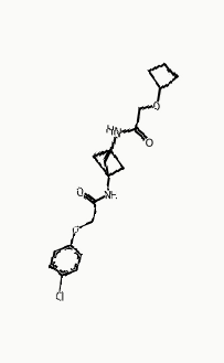 O=C(COc1ccc(Cl)cc1)NC12CC(NC(=O)COC3CCC3)(C1)C2